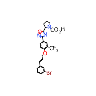 O=C(O)N1CCCC1c1nc(-c2ccc(OCC=Cc3cccc(Br)c3)c(C(F)(F)F)c2)no1